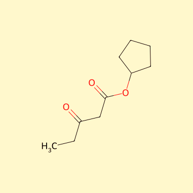 CCC(=O)CC(=O)OC1CCCC1